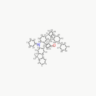 CC1(C)c2ccccc2-c2ccc(N(c3ccccc3)c3ccc4c(c3)C3(c5ccccc5Oc5c(-c6ccccc6)cccc53)c3ccccc3-4)cc21